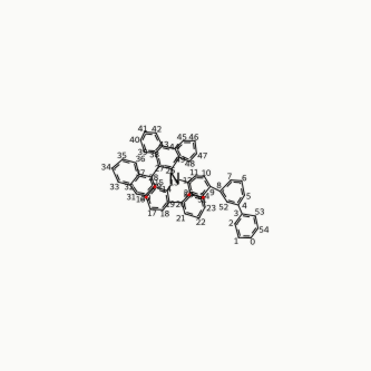 c1ccc(-c2cccc(-c3ccc(N(c4ccccc4-c4ccccc4)c4c(-c5cccc6ccccc56)c5ccccc5c5ccccc45)cc3)c2)cc1